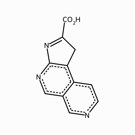 O=C(O)C1=Nc2ncc3cnccc3c2C1